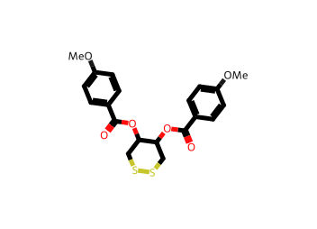 COc1ccc(C(=O)OC2CSSCC2OC(=O)c2ccc(OC)cc2)cc1